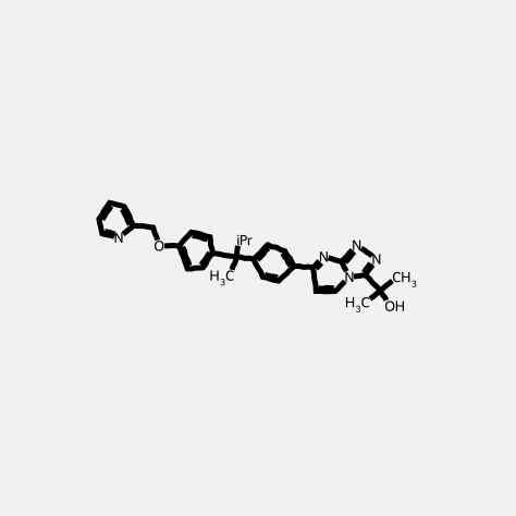 CC(C)C(C)(c1ccc(OCc2ccccn2)cc1)c1ccc(-c2ccn3c(C(C)(C)O)nnc3n2)cc1